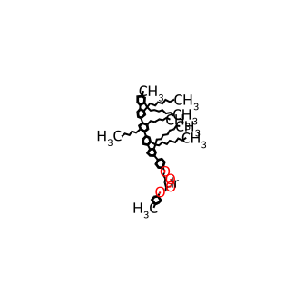 CCCCCCCCC1(CCCCCCCC)c2cc(C)ccc2-c2ccc(-c3cc(CCCCCC)c(-c4ccc5c(c4)C(CCCCCCCC)(CCCCCCCC)c4cc(-c6ccc(OCC7CC(COc8ccc(C)cc8)[O][Ir][O]7)cc6)ccc4-5)cc3CCCCCC)cc21